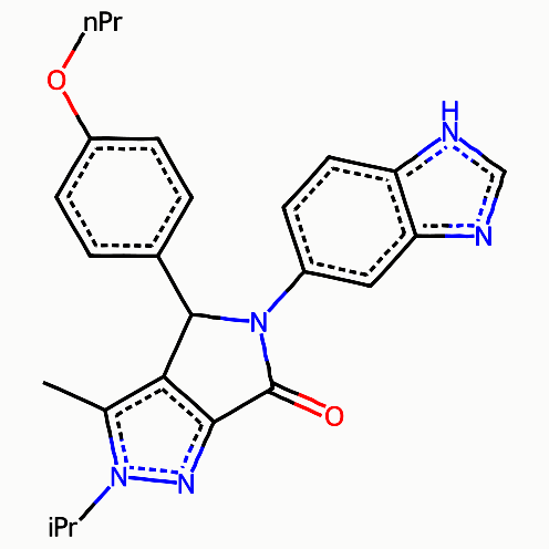 CCCOc1ccc(C2c3c(nn(C(C)C)c3C)C(=O)N2c2ccc3[nH]cnc3c2)cc1